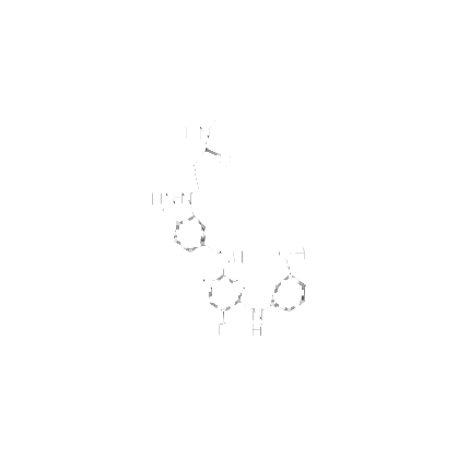 CNC(=O)CCN1NCc2ccc(Nc3ncc(F)c(Nc4cccc(O)c4)n3)cc21